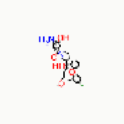 COCCCC[C@@](O)(c1ccccc1Oc1ccc(F)cc1C)C1CCCN(C(=O)[C@H]2C[C@@H](N)[C@@H](O)C2)C1